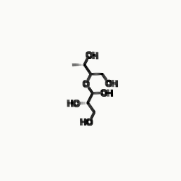 C[C@H](O)C(CO)OC(O)[C@@H](O)CO